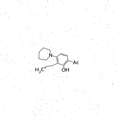 C=CCc1c(N2CCCCC2)ccc(C(C)=O)c1O